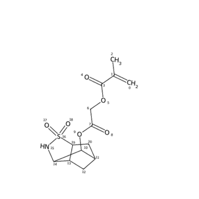 C=C(C)C(=O)OCC(=O)OC1C2CC3C1NS(=O)(=O)C3C2